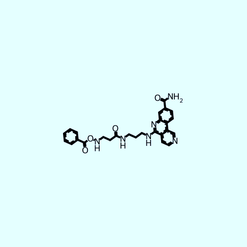 NC(=O)c1ccc2c(c1)nc(NCCCNC(=O)CCNOC(=O)c1ccccc1)c1ccncc12